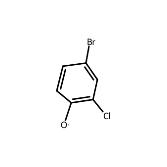 [O]c1ccc(Br)cc1Cl